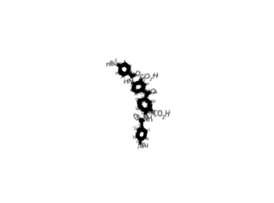 CCCCc1ccc(C(=O)Nc2ccc(C(=O)c3ccc(NC(=O)c4ccc(CCCC)cc4)c(C(=O)O)c3)cc2C(=O)O)cc1